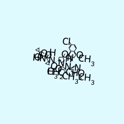 C=C[C@@H]1C[C@]1(NC(=O)[C@@H]1C[C@@H](Oc2ncc(OC)c3ccc(Cl)cc23)CN1C(=O)C(Nc1ccc(OC)nc1)C(C)(C)C)C(=O)NS(=O)(=O)C1CC1